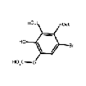 CCCCCCCCc1c(Br)cc(OC(=O)O)c(O)c1CCCCCCCC